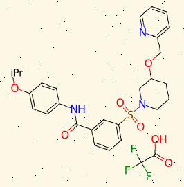 CC(C)Oc1ccc(NC(=O)c2cccc(S(=O)(=O)N3CCCC(OCc4ccccn4)C3)c2)cc1.O=C(O)C(F)(F)F